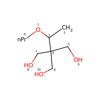 CCCOC(C)C(CO)(CO)CO